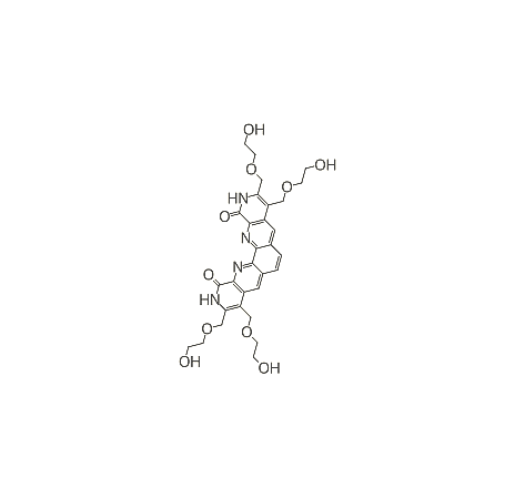 O=c1[nH]c(COCCO)c(COCCO)c2cc3ccc4cc5c(COCCO)c(COCCO)[nH]c(=O)c5nc4c3nc12